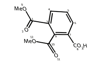 COC(=O)c1cccc(C(=O)O)c1C(=O)OC